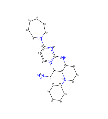 NCCC1C(Nc2nccc(N3CCCCCC3)n2)CCCN1C1CCCCC1